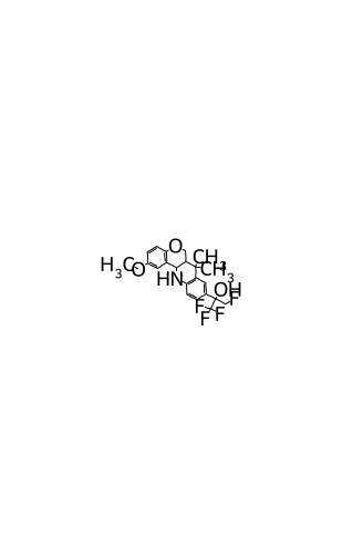 COc1ccc2c(c1)C1Nc3ccc(C(O)(CF)C(F)(F)F)cc3C(C)(C)C1CO2